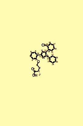 C[C@@H](CCOc1ccccc1-c1cc(-c2ccccc2Cl)n(-c2ccccc2)n1)C(=O)O